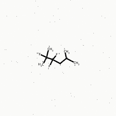 CC(C)CC(F)(F)C(C)(C)F